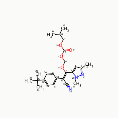 Cc1cc(/C(OCOC(=O)OCC(C)C)=C(\C#N)c2ccc(C(C)(C)C)cc2)n(C)n1